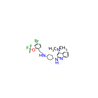 CN(C)c1cc(N[C@H]2CC[C@@H](NCCc3ccc(Br)cc3OC(F)(F)F)CC2)nc2ccccc12